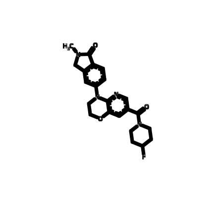 CN1Cc2cc(N3CCOc4cc(C(=O)N5CCC(F)CC5)cnc43)ccc2C1=O